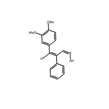 COc1ccc(/C(Cl)=C(\C=N/O)c2ccccc2)cc1OC